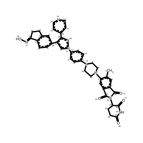 Cc1cc2c(cc1N1CCN(c3ccc(-n4cc(-c5ccc6c(c5)CCC6=NO)c(-c5ccncc5)n4)cc3)CC1)C(=O)N(C1CCC(=O)NC1=O)C2=O